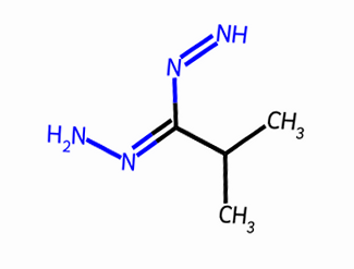 CC(C)/C(N=N)=N/N